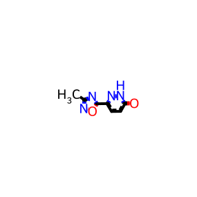 Cc1noc(-c2ccc(=O)[nH]n2)n1